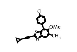 COc1c(C)cc2nc(C#CC3CC3)sc2c1-c1ccc(Cl)cc1